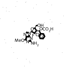 COc1nc(N)nc2c1ncn2[C@@H]1O[C@@H](CO)[C@@H](C(OC(=O)O)c2ccccc2)[C@@]1(C)F